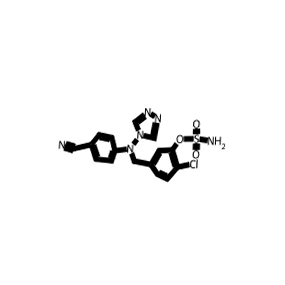 N#Cc1ccc(N(Cc2ccc(Cl)c(OS(N)(=O)=O)c2)n2cnnc2)cc1